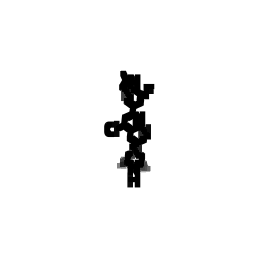 Cc1cn2cc(-c3cc(Cl)c4cc(N5C[C@@H](C)N[C@@H](C)C5)cnc4n3)cc(F)c2n1